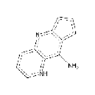 Nc1c2cccc2nc2ccc[nH]c12